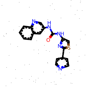 O=C(Nc1cnc2ccccc2c1)Nc1csc(-c2ccncc2)n1